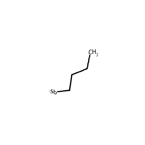 CCC[CH2][Sb]